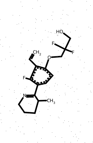 C=Cc1c(OCC(F)(F)CO)ccc(C2=NCCCC2C)c1F